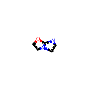 [c]1cnc2occn12